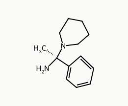 C[C@@](N)(c1ccccc1)N1CCCCC1